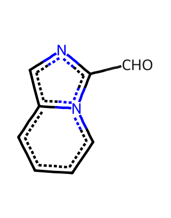 O=Cc1ncc2ccccn12